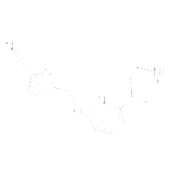 N#Cc1ccc(COc2cccc(C3CCNCC3)n2)s1